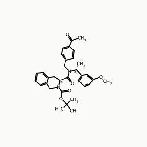 COc1cccc([C@@H](C)N(Cc2ccc(C(C)=O)cc2)C(=O)[C@@H]2Cc3ccccc3CN2C(=O)OC(C)(C)C)c1